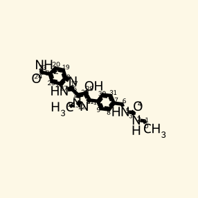 CCNC(=O)NCc1ccc(-c2nn(C)c(-c3nc4ccc(C(N)=O)cc4[nH]3)c2O)cc1